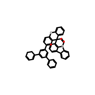 C1=CCCC(c2cc(-c3ccccc3)cc(-c3ccc4c(c3)C3(c5ccccc5O4)c4ccccc4-n4c5ccccc5c5cccc3c54)c2)=C1